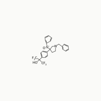 [O-][S+](c1ccccc1)C1(c2ccc(C(O)(C(F)(F)F)C(F)(F)F)cc2)CCN(Cc2ccccc2)C1